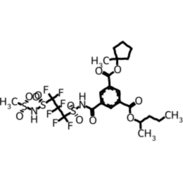 CCCC(C)OC(=O)c1cc(C(=O)NS(=O)(=O)C(F)(F)C(F)(F)C(F)(F)S(=O)(=O)NS(C)(=O)=O)cc(C(=O)OC2(C)CCCC2)c1